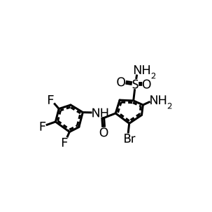 Nc1cc(Br)c(C(=O)Nc2cc(F)c(F)c(F)c2)cc1S(N)(=O)=O